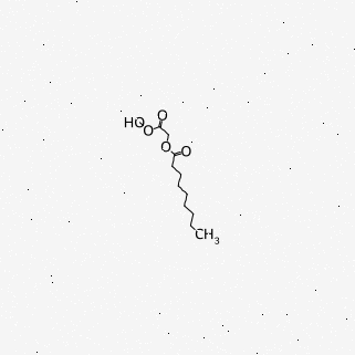 CCCCCCCCC(=O)OCC(=O)OO